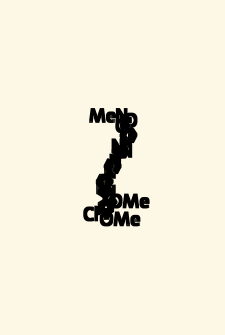 CNC(=O)OC1CCCN(c2ncc(N3CCN(c4ccn5cc(-c6cc(Cl)c(OC)cc6OC)nc5c4)CC3)cn2)C1